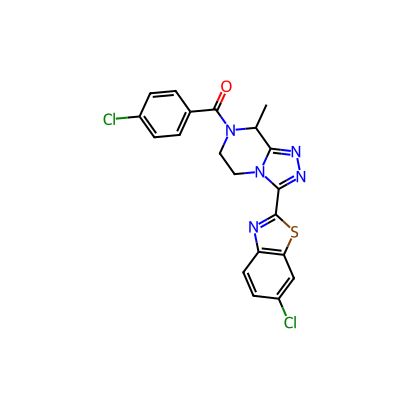 CC1c2nnc(-c3nc4ccc(Cl)cc4s3)n2CCN1C(=O)c1ccc(Cl)cc1